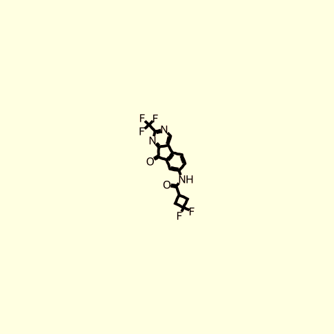 O=C1c2cc(NC(=O)C3CC(F)(F)C3)ccc2-c2cnc(C(F)(F)F)nc21